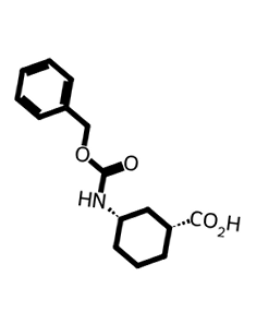 O=C(N[C@H]1CCC[C@@H](C(=O)O)C1)OCc1ccccc1